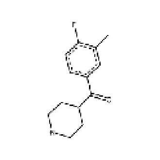 Cc1cc(C(=O)C2CC[N]CC2)ccc1F